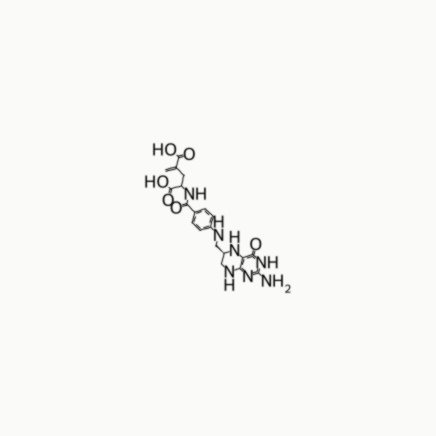 C=C(CC(NC(=O)c1ccc(NC[C@@H]2CNc3nc(N)[nH]c(=O)c3N2)cc1)C(=O)O)C(=O)O